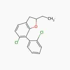 [CH2]CC1Cc2ccc(Cl)c(-c3ccccc3Cl)c2O1